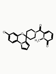 Cn1c(C(=O)N2CCC3(CC2)Oc2cc(Cl)ccc2-n2cccc23)cccc1=O